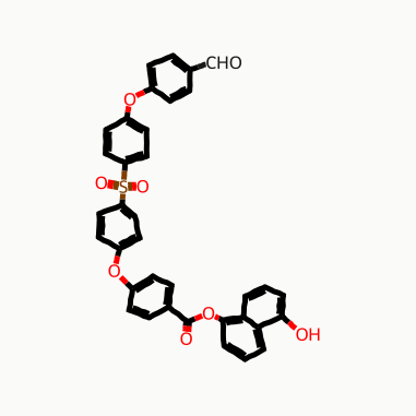 O=Cc1ccc(Oc2ccc(S(=O)(=O)c3ccc(Oc4ccc(C(=O)Oc5cccc6c(O)cccc56)cc4)cc3)cc2)cc1